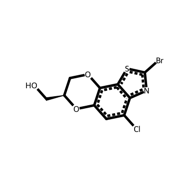 OC[C@H]1COc2c(cc(Cl)c3nc(Br)sc23)O1